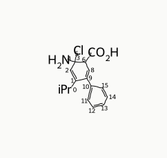 CC(C)C1=CC(N)(Cl)C(C(=O)O)C=C1c1ccccc1